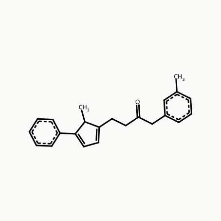 Cc1cccc(CC(=O)CCC2=CC=C(c3ccccc3)C2C)c1